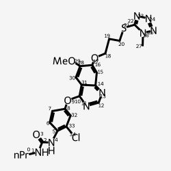 CCCNC(=O)Nc1ccc(Oc2ncnc3cc(OCCCSc4nnnn4C)c(OC)cc23)cc1Cl